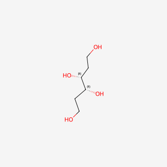 OCC[C@@H](O)[C@H](O)CCO